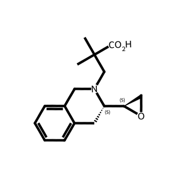 CC(C)(CN1Cc2ccccc2C[C@H]1[C@H]1CO1)C(=O)O